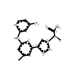 Cc1cc(Nc2cc(C(F)(F)F)ccn2)nc(-c2cn([C@H](C)C(N)=O)nn2)c1